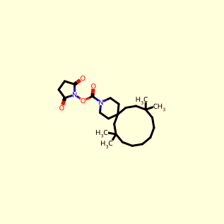 CC1(C)CCCCCCC(C)(C)CC2(CCN(C(=O)ON3C(=O)CCC3=O)CC2)CC1